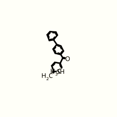 C=C(S)/C=C\C(=C/C)C(=O)c1ccc(-c2ccccc2)cc1